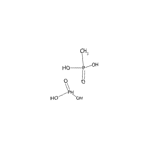 CP(=O)(O)O.O=[PH](O)O